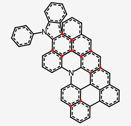 c1ccc(-c2cccc3cccc(-c4ccccc4N(c4ccccc4-c4ccc5c(c4)c4ccccc4n5-c4ccccc4)c4ccccc4-c4cccc5ccccc45)c23)cc1